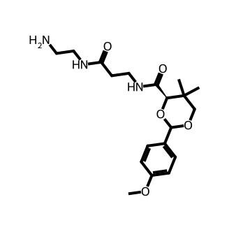 COc1ccc(C2OCC(C)(C)[C@H](C(=O)NCCC(=O)NCCN)O2)cc1